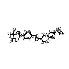 CC1(C)OB(c2ccc(CO[C@@H]3COc4nc([N+](=O)[O-])cn4C3)cc2)OC1(C)C